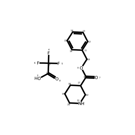 O=C(O)C(F)(F)F.O=C(OCc1ccccc1)C1CCCNC1